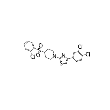 O=S(=O)(c1ccccc1Cl)C1CCN(c2nc(-c3ccc(Cl)c(Cl)c3)cs2)CC1